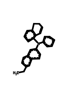 CCc1ccc2cc(N(c3ccccc3)c3cccc4c3C=CCC4)ccc2c1